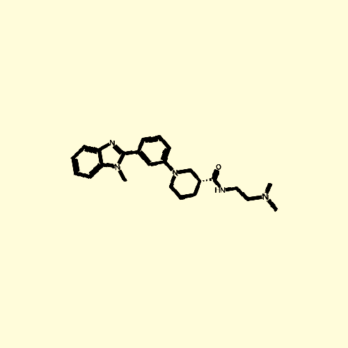 CN(C)CCNC(=O)[C@@H]1CCCN(c2cccc(-c3nc4ccccc4n3C)c2)C1